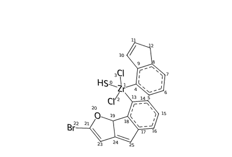 [SH][Zr]([Cl])([Cl])([c]1cccc2c1C=CC2)[c]1cccc2c1C1OC(Br)=CC1=C2